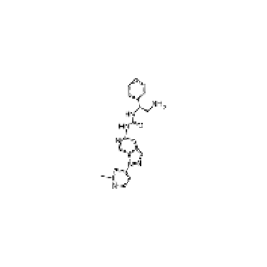 Cc1cc(-n2ncc3cc(NC(=O)N[C@H](CN)c4ccccc4)ncc32)ccn1